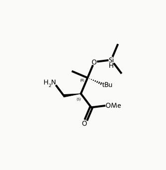 COC(=O)[C@@H](CN)[C@@](C)(O[SiH](C)C)C(C)(C)C